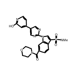 CNS(=O)(=O)c1cn(-c2ncc(-c3ccnc(O)c3)cn2)c2cc(C(=O)N3CCOCC3)ccc12